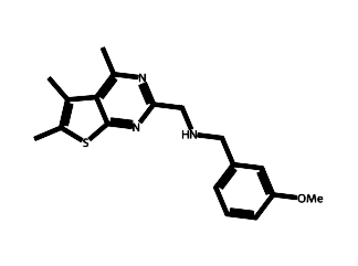 COc1cccc(CNCc2nc(C)c3c(C)c(C)sc3n2)c1